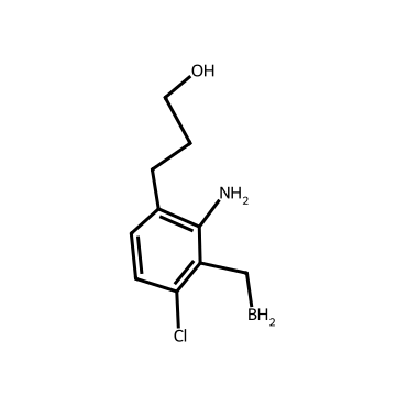 BCc1c(Cl)ccc(CCCO)c1N